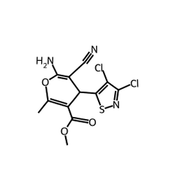 COC(=O)C1=C(C)OC(N)=C(C#N)C1c1snc(Cl)c1Cl